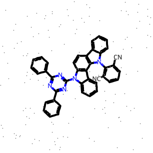 N#Cc1cccc(C#N)c1-n1c2ccccc2c2ccc3c(c4ccccc4n3-c3nc(-c4ccccc4)nc(-c4ccccc4)n3)c21